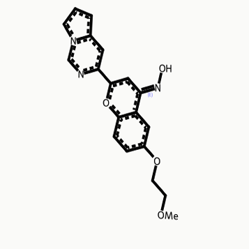 COCCOc1ccc2oc(-c3cc4cccn4cn3)c/c(=N\O)c2c1